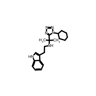 CC(C)(NCCc1c[nH]c2ccccc12)c1nnnn1C1CCCCC1